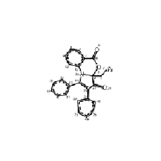 CC(C)CC12OC(=O)c3ccccc3N1C(c1ccccc1)=C(c1ccccc1)C2=O